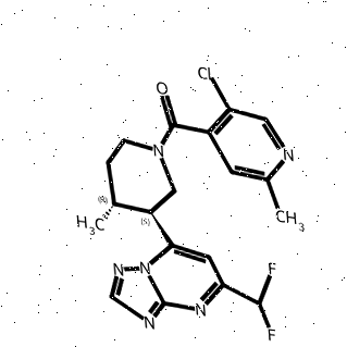 Cc1cc(C(=O)N2CC[C@@H](C)[C@H](c3cc(C(F)F)nc4ncnn34)C2)c(Cl)cn1